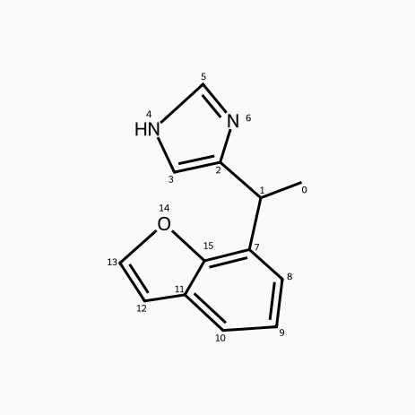 CC(c1c[nH]cn1)c1cccc2ccoc12